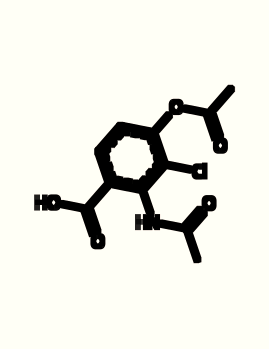 CC(=O)Nc1c(C(=O)O)ccc(OC(C)=O)c1Cl